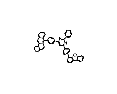 c1ccc(-c2nc(-c3ccc(-c4c5ccccc5cc5c4ccc4ccccc45)cc3)cc(-c3ccc(-c4cccc5c4oc4ccccc45)cc3)n2)cc1